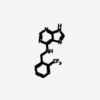 FC(F)(F)c1ccccc1CNc1ncnc2[nH]cnc12